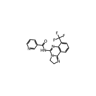 O=C(NC1=Nc2c(cccc2C(F)(F)F)C2=NCCN12)c1cccnc1